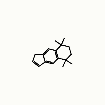 CC1(C)CCC(C)(C)c2cc3c(cc21)C=CC3